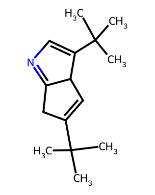 CC(C)(C)C1=CC2C(C(C)(C)C)=CN=C2C1